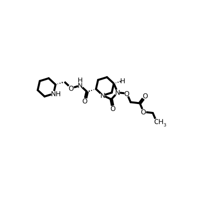 CCOC(=O)CON1C(=O)N2C[C@H]1CC[C@H]2C(=O)NOC[C@H]1CCCCN1